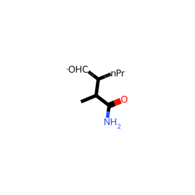 CCCC([C]=O)C(C)C(N)=O